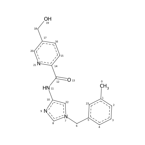 Cc1cccc(Cn2cnc(NC(=O)c3ccc(CO)cn3)c2)c1